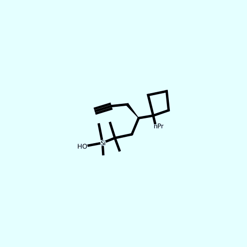 C#CC[C@H](CC(C)(C)[Si](C)(C)O)C1(CCC)CCC1